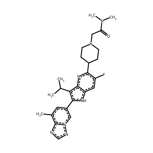 Cc1cc(-c2[nH]c3cc(F)c(C4CCN(CC(=O)N(C)C)CC4)nc3c2C(C)C)cn2ncnc12